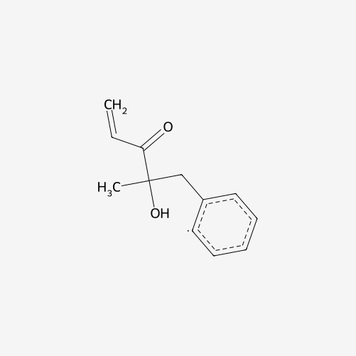 C=CC(=O)C(C)(O)Cc1[c]cccc1